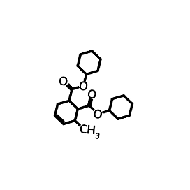 CC1C=CCC(C(=O)OC2CCCCC2)C1C(=O)OC1CCCCC1